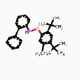 Cc1cc(OPc2ccccc2-c2ccccc2)c(C(C)(C)C)cc1C(C)(C)C